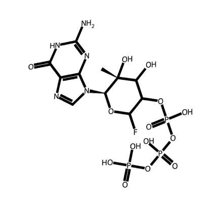 C[C@@]1(O)C(O)C(OP(=O)(O)OP(=O)(O)OP(=O)(O)O)C(F)O[C@H]1n1cnc2c(=O)[nH]c(N)nc21